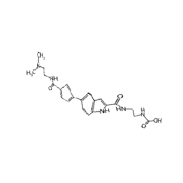 CN(C)CCNC(=O)c1ccc(-c2ccc3[nH]c(C(=O)NCCNC(=O)O)cc3c2)cc1